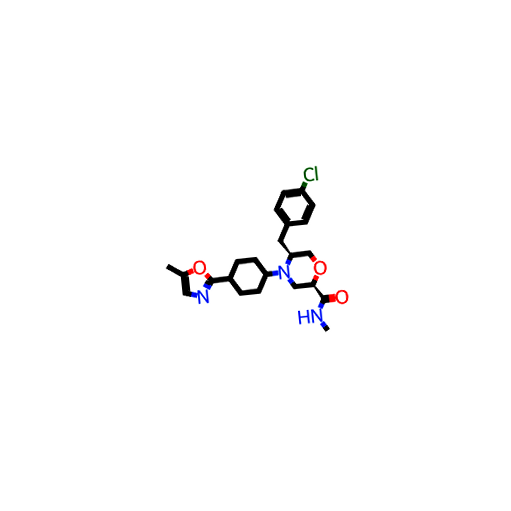 CNC(=O)[C@H]1CN(C2CCC(c3ncc(C)o3)CC2)[C@@H](Cc2ccc(Cl)cc2)CO1